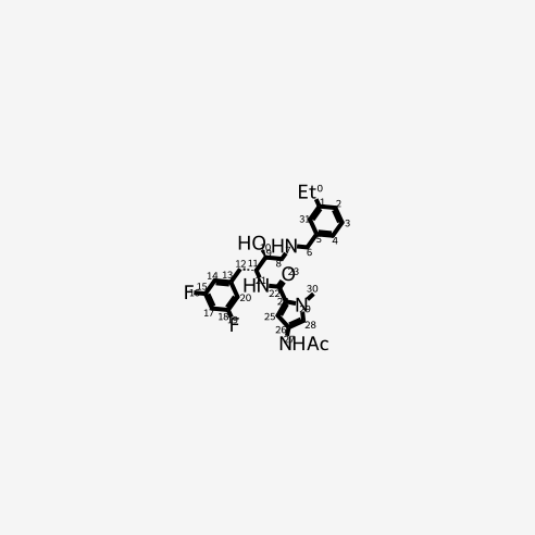 CCc1cccc(CNC[C@H](O)[C@@H](Cc2cc(F)cc(F)c2)NC(=O)c2cc(NC(C)=O)cn2C)c1